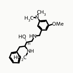 COc1cc(CNC[C@@H](O)C(Cc2ccccc2)NC(=O)O)cc(N(C)C)c1